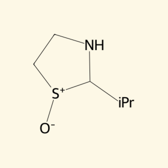 CC(C)C1NCC[S+]1[O-]